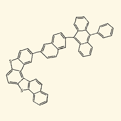 c1ccc(-c2c3ccccc3c(-c3ccc4cc(-c5ccc6sc7ccc8sc9c%10ccccc%10ccc9c8c7c6c5)ccc4c3)c3ccccc23)cc1